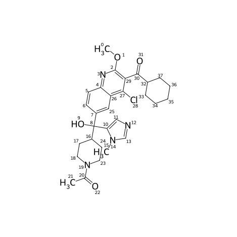 COc1nc2ccc(C(O)(c3cncn3C)C3CCN(C(C)=O)CC3)cc2c(Cl)c1C(=O)C1CCCCC1